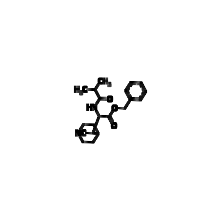 CC(C)C(=O)NC(C(=O)OCc1ccccc1)C1CN2CCC1CC2